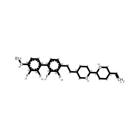 C=CC1CCC(C2CCC(CCc3ccc(-c4ccc(OCC)c(F)c4F)c(F)c3F)CO2)OC1